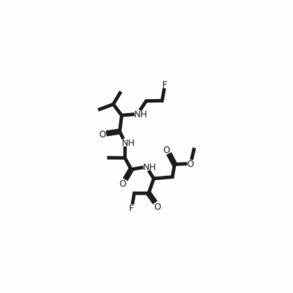 COC(=O)CC(NC(=O)C(C)NC(=O)C(NCCF)C(C)C)C(=O)CF